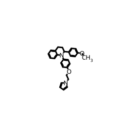 COc1ccc(C2CCc3ccccc3N2c2ccc(OCCn3cccc3)cc2)cc1